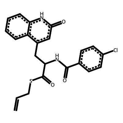 C=CCSC(=O)C(Cc1cc(=O)[nH]c2ccccc12)NC(=O)c1ccc(Cl)cc1